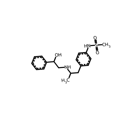 CC(Cc1ccc(NS(C)(=O)=O)cc1)NCC(O)c1ccccc1